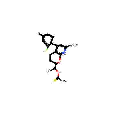 CSC(=S)OC(C1CCc2c(-c3ccc(C)cc3F)cc(C(=O)O)nc2O1)C(F)(F)F